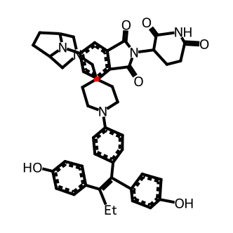 CCC(=C(c1ccc(O)cc1)c1ccc(N2CCC(CN3CC4CCC(C3)N4c3ccc4c(c3)C(=O)N(C3CCC(=O)NC3=O)C4=O)CC2)cc1)c1ccc(O)cc1